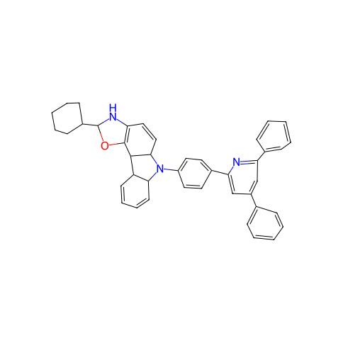 C1=CC2C3C4=C(C=CC3N(c3ccc(-c5cc(-c6ccccc6)cc(-c6ccccc6)n5)cc3)C2C=C1)NC(C1CCCCC1)O4